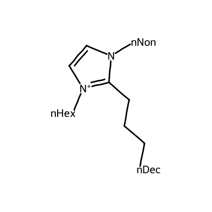 CCCCCCCCCCCCCc1n(CCCCCCCCC)cc[n+]1CCCCCC